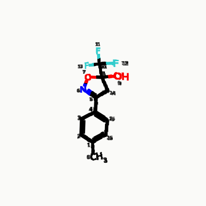 Cc1ccc(C2=NOC(O)(C(F)(F)F)C2)cc1